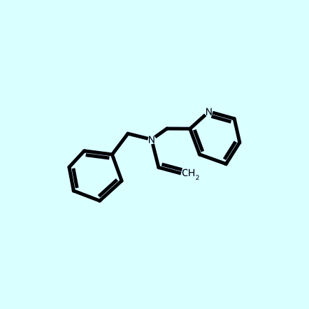 C=CN(Cc1ccccc1)Cc1ccccn1